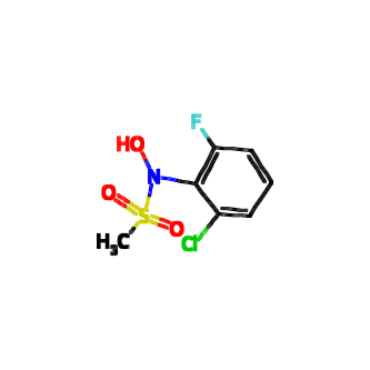 CS(=O)(=O)N(O)c1c(F)cccc1Cl